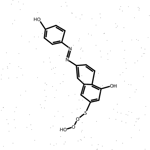 OOOSc1cc(O)c2ccc(N=Nc3ccc(O)cc3)cc2c1